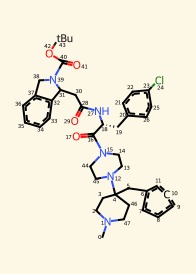 CN1CCC(Cc2ccccc2)(N2CCN(C(=O)[C@@H](Cc3ccc(Cl)cc3)NC(=O)CC3c4ccccc4CN3C(=O)OC(C)(C)C)CC2)CC1